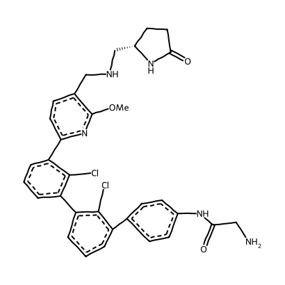 COc1nc(-c2cccc(-c3cccc(-c4ccc(NC(=O)CN)cc4)c3Cl)c2Cl)ccc1CNC[C@@H]1CCC(=O)N1